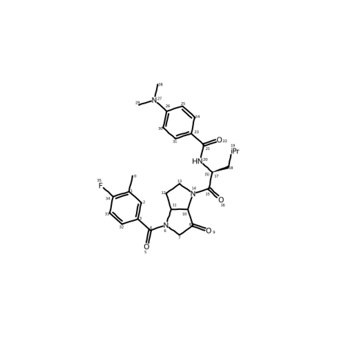 Cc1cc(C(=O)N2CC(=O)C3C2CCN3C(=O)[C@H](CC(C)C)NC(=O)c2ccc(N(C)C)cc2)ccc1F